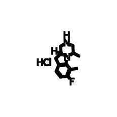 Cc1c(F)ccc2c1N1C(C)CNC[C@H]1C2.Cl